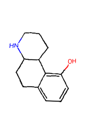 Oc1cccc2c1C1CCCNC1CC2